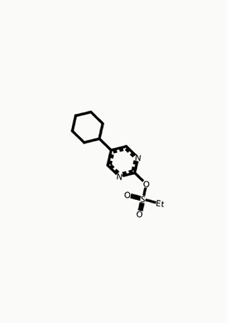 CCS(=O)(=O)Oc1ncc(C2CCCCC2)cn1